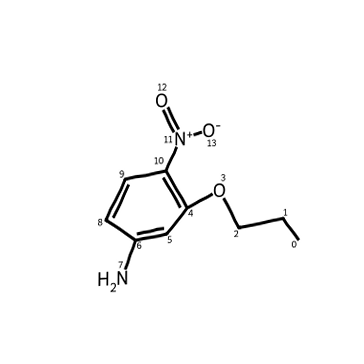 CCCOc1cc(N)ccc1[N+](=O)[O-]